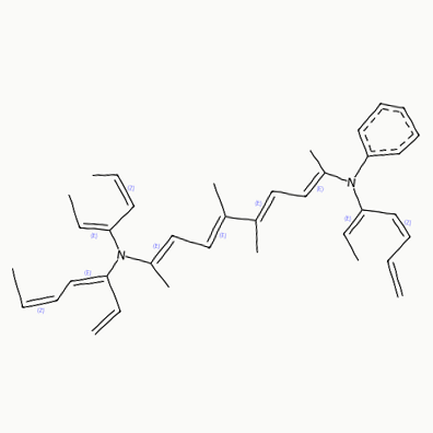 C=C/C=C\C(=C/C)N(/C(C)=C/C=C(C)/C(C)=C/C=C(\C)N(/C(C=C)=C/C=C\C)C(/C=C\C)=C/C)c1ccccc1